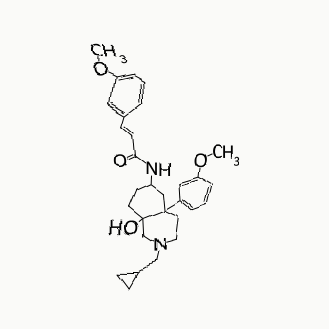 COc1cccc(/C=C/C(=O)NC2CCC3(O)CN(CC4CC4)CCC3(c3cccc(OC)c3)C2)c1